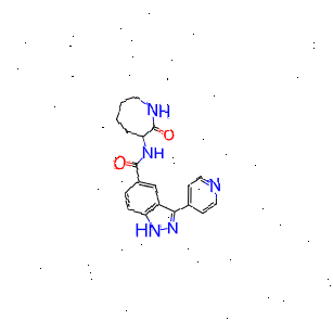 O=C(NC1CCCCNC1=O)c1ccc2[nH]nc(-c3ccncc3)c2c1